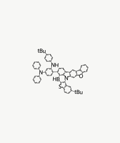 CC(C)(C)c1ccc(Nc2cc(N(c3ccccc3)c3ccccc3)ccc2-c2ccc3c4cc5c(cc4n4c3c2Bc2sc3ccc(C(C)(C)C)cc3c2-4)oc2ccccc25)cc1